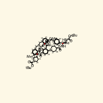 COc1ccc(CN(Cc2ccc(OC)cc2)S(=O)(=O)c2c(S(=O)(=O)N[C@@H]3CCN(C(=O)OC(C)(C)C)C3)ccc(N3CCC(S(=O)(=O)NCCNC(=O)OC(C)(C)C)CC3)c2-c2nnn(Cc3ccc(OC)cc3)n2)cc1